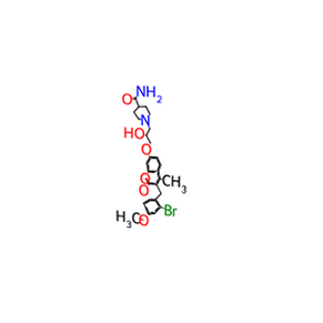 COc1ccc(Cc2c(C)c3ccc(OCC(O)CN4CCC(C(N)=O)CC4)cc3oc2=O)c(Br)c1